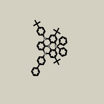 CC(C)(C)c1ccc(N2c3cccc4c3B3c5c(cc(C(C)(C)C)cc5[Si](c5ccccc5)(c5ccccc5)c5cc(C(C)(C)C)cc2c53)N4c2ccc(-c3ccccc3)cc2)cc1